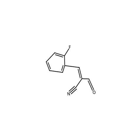 N#C/C(C=O)=C\c1ccccc1F